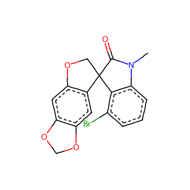 CN1C(=O)C2(COc3cc4c(cc32)OCO4)c2c(Br)cccc21